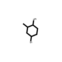 CCC[C]1CCC(CC)CC1C